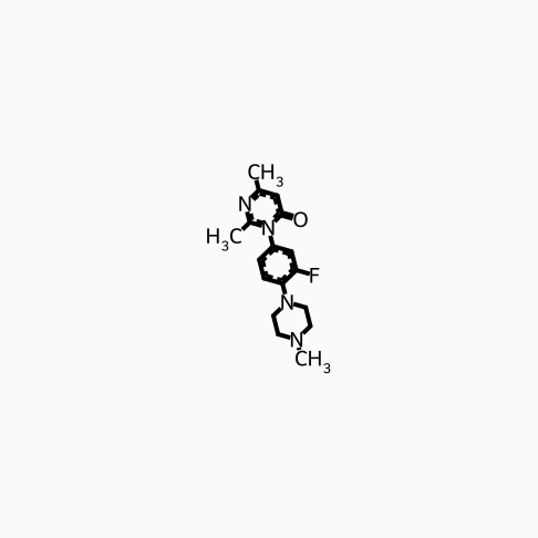 Cc1cc(=O)n(-c2ccc(N3CCN(C)CC3)c(F)c2)c(C)n1